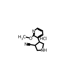 COc1ncccc1C1CNCC1C#N.Cl